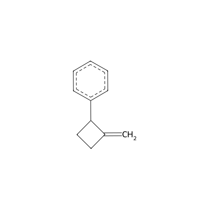 C=C1CCC1c1ccccc1